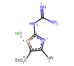 CCCc1nc(NC(=N)N)sc1C(=O)OCC.Cl